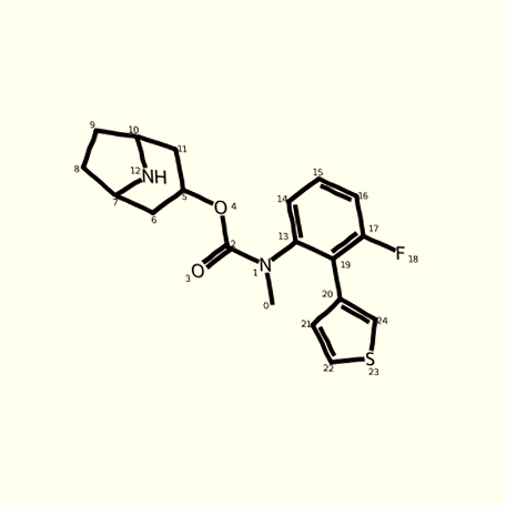 CN(C(=O)OC1CC2CCC(C1)N2)c1cccc(F)c1-c1ccsc1